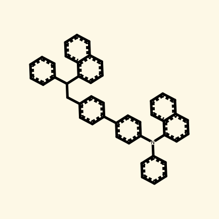 c1ccc(C(Cc2ccc(-c3ccc(N(c4ccccc4)c4cccc5ccccc45)cc3)cc2)c2cccc3ccccc23)cc1